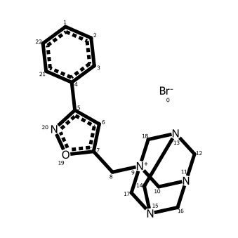 [Br-].c1ccc(-c2cc(C[N+]34CN5CN(CN(C5)C3)C4)on2)cc1